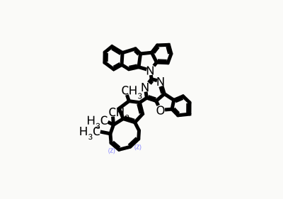 CC1CC2=C(C=C1c1nc(-n3c4ccccc4c4cc5ccccc5cc43)nc3c1oc1ccccc13)C/C=C\C=C/C(C)C2(C)C